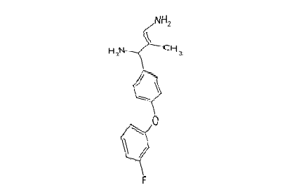 C/C(=C\N)C(N)c1ccc(Oc2cccc(F)c2)cc1